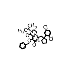 CC(C)N1CCn2c(CC3(c4cc(Cl)ccc4Cl)CCCC3)nc(=O)c(OCc3ccccc3)c2C1=O